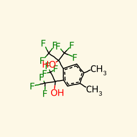 Cc1cc(C(O)(C(F)(F)F)C(F)(F)F)c(C(O)(C(F)(F)F)C(F)(F)F)cc1C